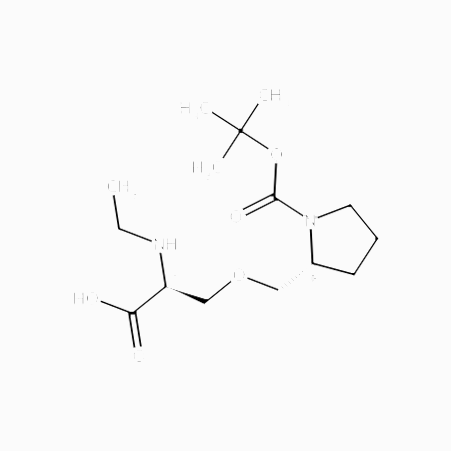 CCN[C@@H](COC[C@H]1CCCN1C(=O)OC(C)(C)C)C(=O)O